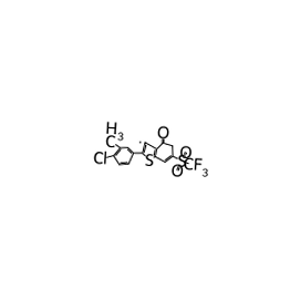 Cc1cc(-c2[c]c3c(s2)C=C(S(=O)(=O)C(F)(F)F)CC3=O)ccc1Cl